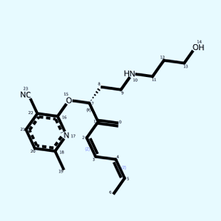 C=C(/C=C\C=C/C)[C@@H](CCNCCCO)Oc1nc(C)ccc1C#N